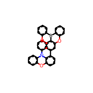 c1ccc(N2c3ccccc3Oc3cccc(-c4cc5c6c(c4)Oc4ccccc4B6c4ccccc4O5)c32)cc1